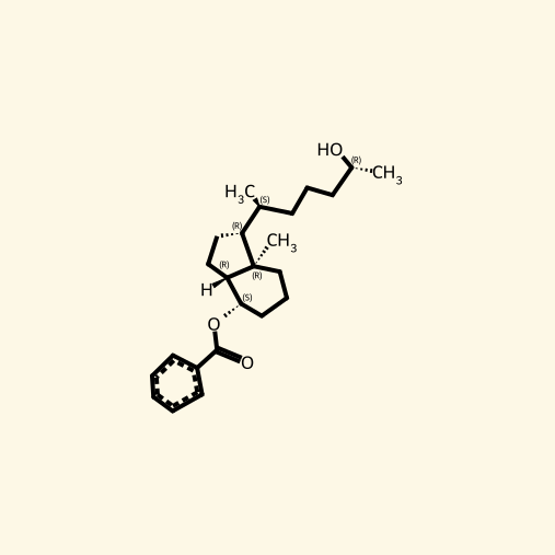 C[C@@H](O)CCC[C@H](C)[C@H]1CC[C@H]2[C@@H](OC(=O)c3ccccc3)CCC[C@]12C